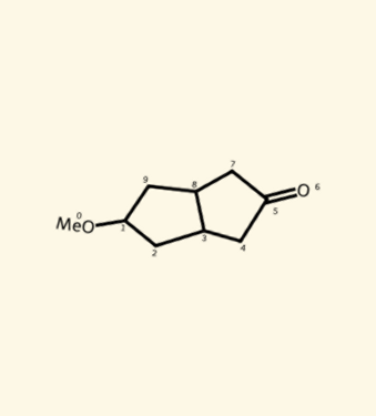 COC1CC2CC(=O)CC2C1